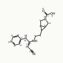 N#C/N=C(\NCCC1C2CN(C(=O)O)CC12)Nc1ccncc1